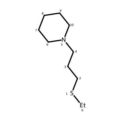 CCSCCCN1CCCCC1